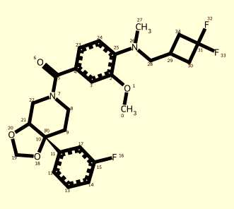 COc1cc(C(=O)N2CC[C@]3(c4cccc(F)c4)OCOC3C2)ccc1N(C)CC1CC(F)(F)C1